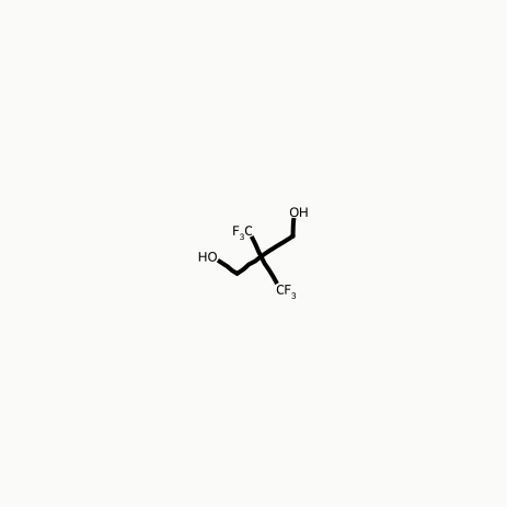 OCC(CO)(C(F)(F)F)C(F)(F)F